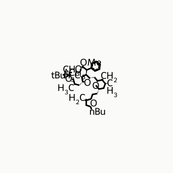 C=C1CC(CCCC)OC1CC[C@H]1C[C@@H](C)C(=C)C(C[C@@H]2O[C@H](C[C@H](C)CO[Si](C)(C)C(C)(C)C)[C@H](C)[C@H]2C(C(=O)OC)c2ccccc2)O1